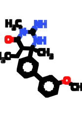 CC[C@H]1C(=O)N(C)C(=N)N[C@]1(C)c1cccc(-c2cccc(OC)c2)c1